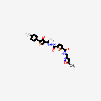 C/C(=N\NC(=O)c1ccc(C(=O)NCc2cc(C)on2)s1)c1csc(-c2ccc(C(F)(F)F)cc2)c1O